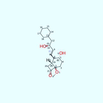 CO[C@]12CC[C@@H](O)[C@H](/C=C/[C@@H](O)CC3CCCCC3)[C@H]1CC2=O